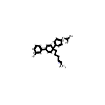 C/C=C/CCCC1(c2ccc(OC(F)F)cc2)C=CC(c2cccc(F)c2)C=C1